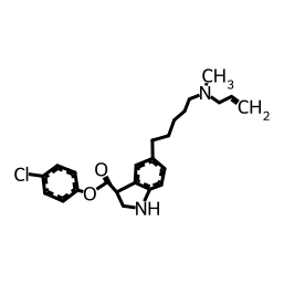 C=CCN(C)CCCCCc1ccc2c(c1)C(C(=O)Oc1ccc(Cl)cc1)CN2